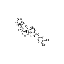 CCC(C)C(NC(=O)C(O)Cc1ccc(O)c(O)c1)C(=O)N1CCCC1C(=O)OC1CC2CCC1(C)C2(C)C